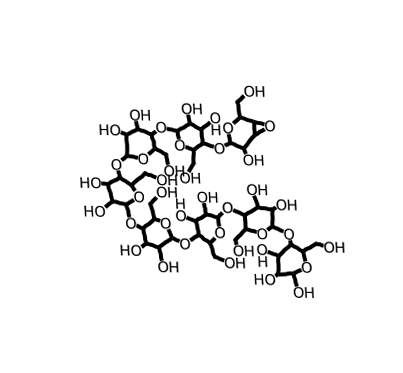 OCC1OC(O)C(O)C(O)C1OC1OC(CO)C(OC2OC(CO)C(OC3OC(CO)C(OC4OC(CO)C(OC5OC(CO)C(OC6OC(CO)C(OC7OC(CO)C8OC8C7O)C(O)C6O)C(O)C5O)C(O)C4O)C(O)C3O)C(O)C2O)C(O)C1O